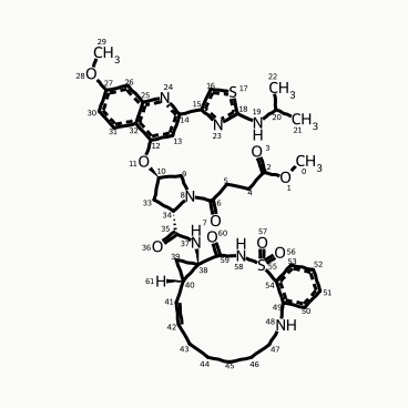 COC(=O)CCC(=O)N1C[C@H](Oc2cc(-c3csc(NC(C)C)n3)nc3cc(OC)ccc23)C[C@H]1C(=O)N[C@]12C[C@H]1/C=C\CCCCCNc1ccccc1S(=O)(=O)NC2=O